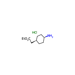 CCOC(=O)C[C@H]1CC[C@@H](N)CC1.Cl